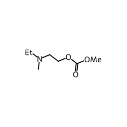 CCN(C)CCOC(=O)OC